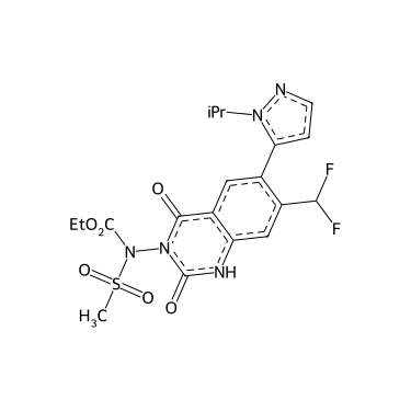 CCOC(=O)N(n1c(=O)[nH]c2cc(C(F)F)c(-c3ccnn3C(C)C)cc2c1=O)S(C)(=O)=O